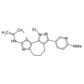 C=C(C)Nc1nc2c(s1)-c1c(c(-c3ccc(NC)nc3)nn1CC)CCC2